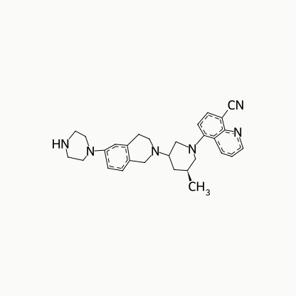 C[C@H]1CC(N2CCc3cc(N4CCNCC4)ccc3C2)CN(c2ccc(C#N)c3ncccc23)C1